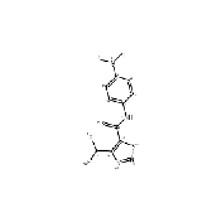 CN(C)c1ccc(NC(=S)c2snnc2C(F)F)cc1